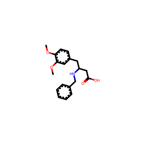 COc1ccc(CC(CC(=O)O)NCc2ccccc2)cc1OC